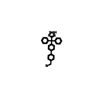 BrCc1ccc(-c2ccc(C(c3ccccc3)(c3ccccc3)c3nn[nH]n3)cc2)cc1